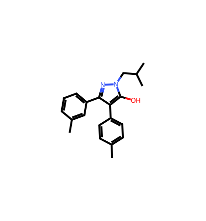 Cc1ccc(-c2c(-c3cccc(C)c3)nn(CC(C)C)c2O)cc1